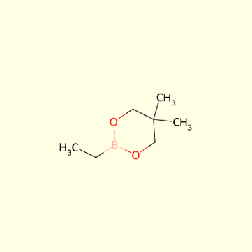 CCB1OCC(C)(C)CO1